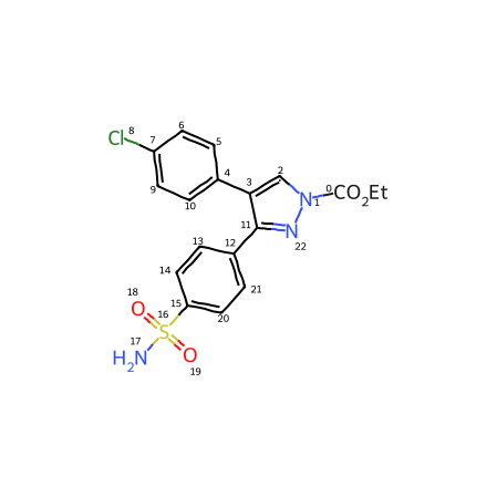 CCOC(=O)n1[c]c(-c2ccc(Cl)cc2)c(-c2ccc(S(N)(=O)=O)cc2)n1